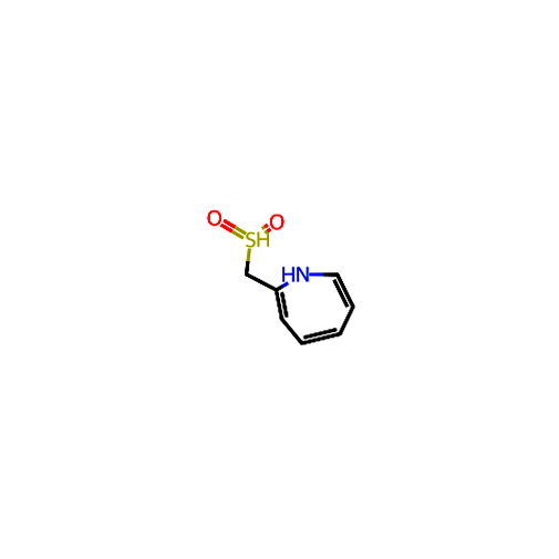 O=[SH](=O)CC1=CC=CC=CN1